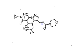 CC1(Cn2c(=O)c(C(=O)NC3CC3)c(O)n3ncc(/C=C/C(=O)N4CCOCC4)c23)CC1